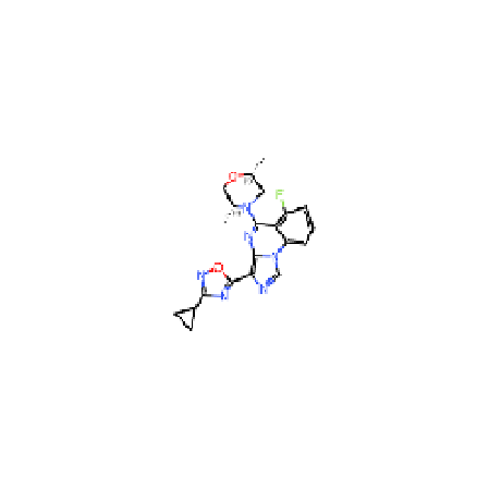 C[C@@H]1CN(c2nc3c(-c4nc(C5CC5)no4)ncn3c3cccc(F)c23)[C@H](C)CO1